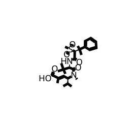 C/C(=C\[C@H](C(C)C)N(C)C(=O)[C@@H](NC(=O)[C@H](C(C)(C)c1ccccc1)S(C)(=O)=O)C(C)(C)C)C(=O)O